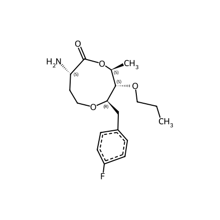 CCCO[C@H]1[C@H](C)OC(=O)[C@@H](N)CCO[C@@H]1Cc1ccc(F)cc1